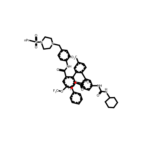 CCCS(=O)(=O)N1CCN(Cc2ccc(NC(=O)c3cc(OC(F)(F)F)c(-c4ccccc4)c(C(N)=O)c3-c3cc(C(=O)O)ccc3-c3cc(NC(=O)NC4CCCCC4)ccc3OC(F)(F)F)cc2)CC1